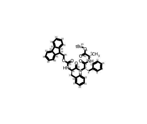 C[C@H](NC(=O)[C@H](Cc1ccccc1)NC(=O)[C@@H](Cc1ccccc1)NC(=O)OCC1c2ccccc2-c2ccccc21)C(=O)OC(C)(C)C